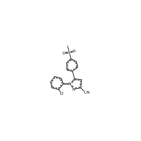 CS(=O)(=O)c1ccc(-c2cc(C#N)nn2-c2ccccc2Cl)cc1